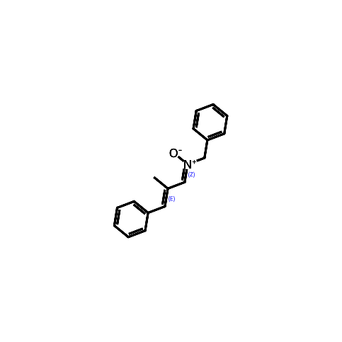 CC(/C=[N+](\[O-])Cc1ccccc1)=C\c1ccccc1